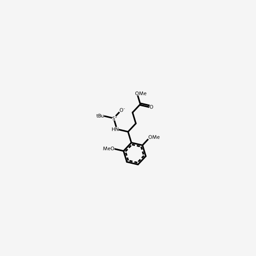 COC(=O)CCC(N[S+]([O-])C(C)(C)C)c1c(OC)cccc1OC